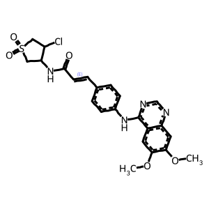 COc1cc2ncnc(Nc3ccc(/C=C/C(=O)NC4CS(=O)(=O)CC4Cl)cc3)c2cc1OC